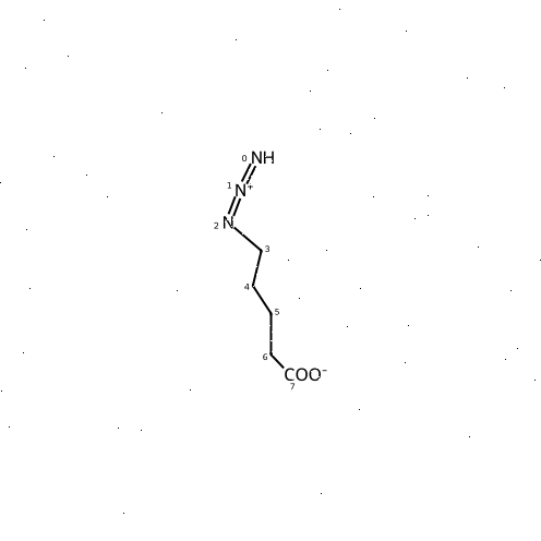 N=[N+]=NCCCCC(=O)[O-]